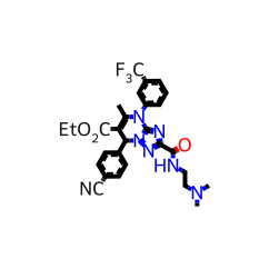 CCOC(=O)C1=C(C)N(c2cccc(C(F)(F)F)c2)c2nc(C(=O)NCCN(C)C)nn2C1c1ccc(C#N)cc1